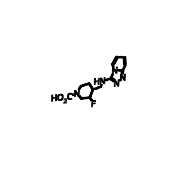 O=C(O)N1CCC(CNc2nnc3ccccn23)C(F)C1